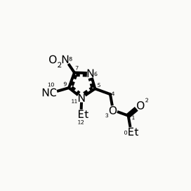 CCC(=O)OCc1nc([N+](=O)[O-])c(C#N)n1CC